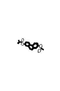 C=C(C)C(=O)Oc1ccc2c(ccc3cc(OC(C)=O)ccc32)c1